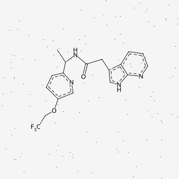 CC(NC(=O)Cc1c[nH]c2ncccc12)c1ccc(OCC(F)(F)F)cn1